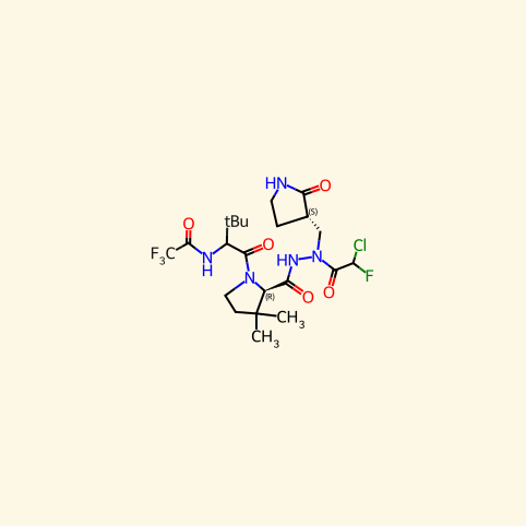 CC(C)(C)C(NC(=O)C(F)(F)F)C(=O)N1CCC(C)(C)[C@@H]1C(=O)NN(C[C@@H]1CCNC1=O)C(=O)C(F)Cl